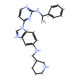 CC(Nc1nccc(-n2cnc3cc(NCC4CCCNC4)ccc32)n1)c1ccccc1